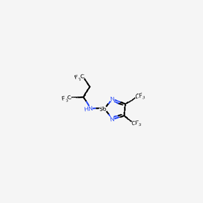 FC(F)(F)CC([NH][Sb]1[N]=C(C(F)(F)F)C(C(F)(F)F)=[N]1)C(F)(F)F